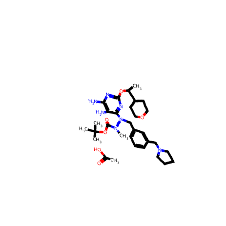 CC(=O)O.CC(Oc1nc(N)c(N)c(N(Cc2cccc(CN3CCCC3)c2)N(C)C(=O)OC(C)(C)C)n1)C1CCOCC1